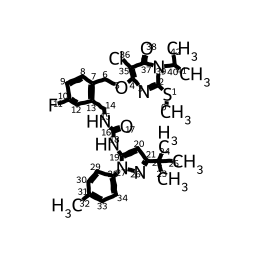 CSc1nc(OCc2ccc(F)cc2CNC(=O)Nc2cc(C(C)(C)C)nn2-c2ccc(C)cc2)c(Cl)c(=O)n1C(C)C